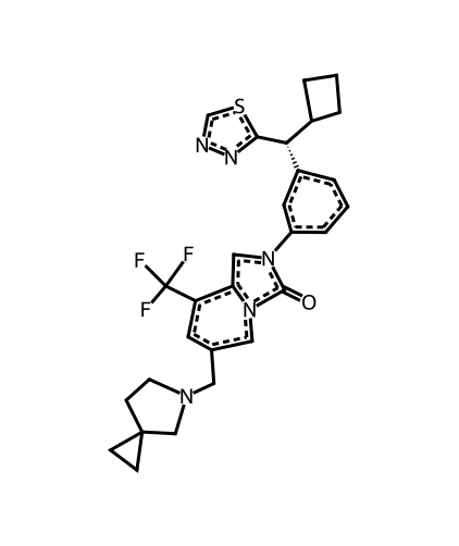 O=c1n(-c2cccc([C@H](c3nncs3)C3CCC3)c2)cc2c(C(F)(F)F)cc(CN3CCC4(CC4)C3)cn12